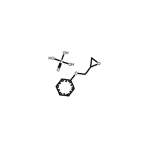 O=P(O)(O)O.c1ccc(OCC2CO2)cc1